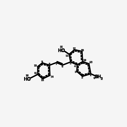 Bc1ccc2c(/C=C/c3ccc(O)cc3)c(O)ccc2c1